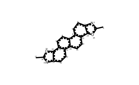 Cc1nc2ccc3c4ccc5c(ccc6nc(C)oc65)c4ccc3c2o1